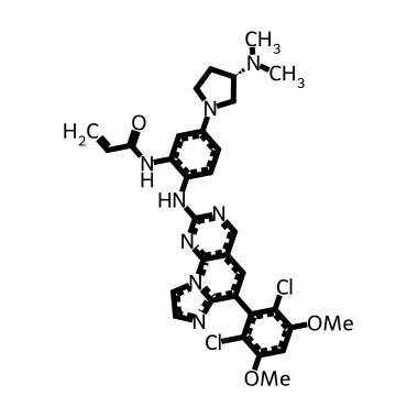 C=CC(=O)Nc1cc(N2CC[C@H](N(C)C)C2)ccc1Nc1ncc2cc(-c3c(Cl)c(OC)cc(OC)c3Cl)c3nccn3c2n1